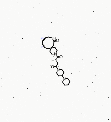 O=C1CC2(C/C=C\C=C/CN1)CCN(C(=O)NCC(=O)N1CCC(N3CCCCC3)CC1)CC2